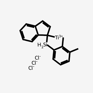 Cc1cccc([SiH2][C]2([Ti+3])C=Cc3ccccc32)c1C.[Cl-].[Cl-].[Cl-]